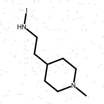 CN1CCC(CCNI)CC1